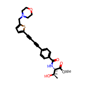 COC(=O)[C@@H](NC(=O)c1ccc(C#CC#Cc2ccc(CN3CCOCC3)s2)cc1)[C@@H](C)O